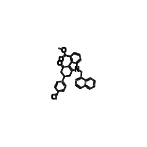 COC(=O)c1cccc2c1c1c(n2Cc2cccc3ccccc23)CC(c2ccc(Cl)cc2)CC1=O